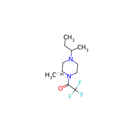 CCC(C)N1CCN(C(=O)C(F)(F)F)[C@H](C)C1